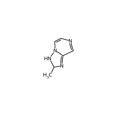 CC1N=C2C=NC=CN2N1